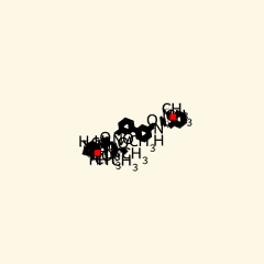 COc1c(CN2OC(C)[C@@H]([C@H](C)O)[C@H]2C(=O)N[C@H]2C[C@H]3C[C@@H]([C@@H]2C)C3(C)C)cccc1-c1cccc(C(=O)N[C@@H](Cc2ccccc2)CN(C)C)c1